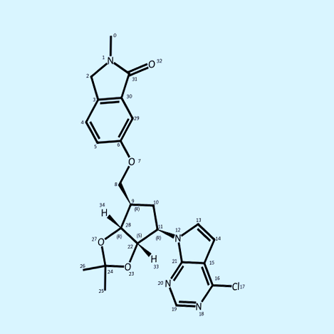 CN1Cc2ccc(OC[C@H]3C[C@@H](n4ccc5c(Cl)ncnc54)[C@@H]4OC(C)(C)O[C@H]34)cc2C1=O